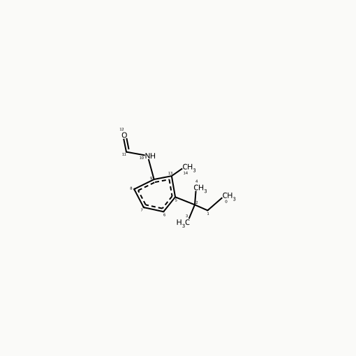 CCC(C)(C)c1cccc(NC=O)c1C